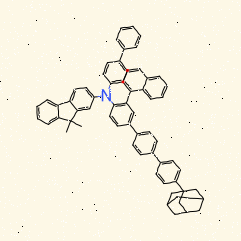 CC1(C)c2ccccc2-c2ccc(N(c3ccc(-c4ccccc4)cc3)c3ccc(-c4ccc(-c5ccc(C67CC8CC(CC(C8)C6)C7)cc5)cc4)cc3-c3cccc4ccccc34)cc21